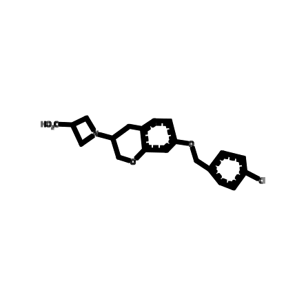 O=C(O)C1CN(C2COc3cc(OCc4ccc(Cl)cc4)ccc3C2)C1